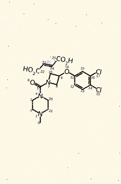 CN1CCN(C(=O)N2CC(Oc3ccc(Cl)c(Cl)c3)C2)CC1.O=C(O)/C=C/C(=O)O